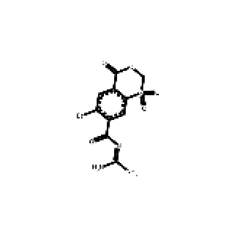 CCc1cc2c(cc1C(=O)N=C(N)N)S(=O)(=O)COC2=O